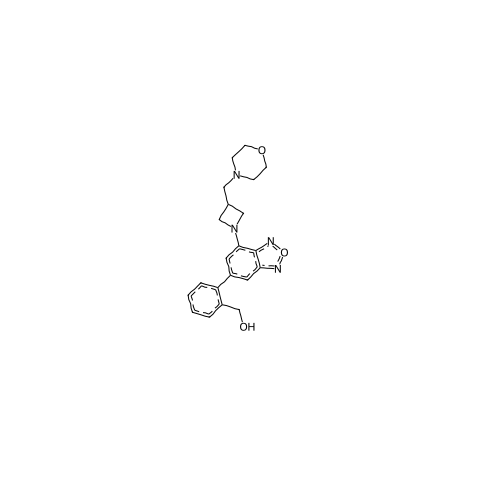 OCc1ccccc1-c1cc(N2CC(CN3CCOCC3)C2)c2nonc2c1